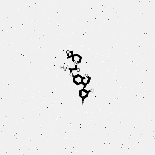 CC(Oc1ccc2c(-c3ccc(F)cc3Cl)ccnc2c1)C(=O)N1CCCC2(COC2)C1